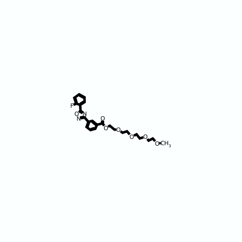 COCCOCCOCCOCCOC(=O)c1cccc(-c2noc(-c3ccccc3F)n2)c1